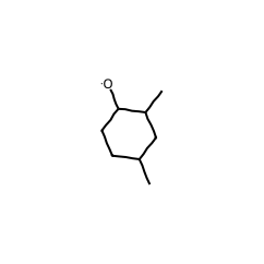 CC1CCC([O])C(C)C1